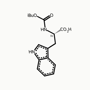 CC(C)COC(=O)N[C@@H](Cc1c[nH]c2ccccc12)C(=O)O